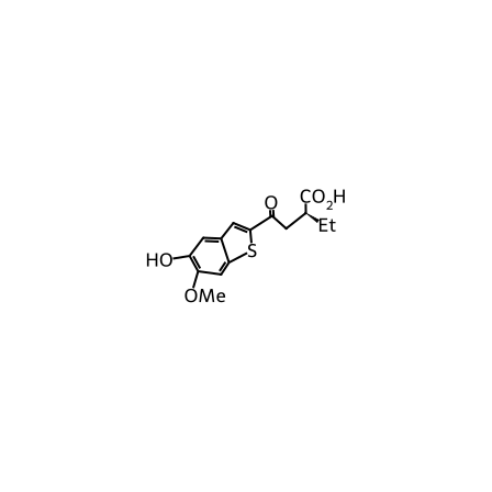 CC[C@@H](CC(=O)c1cc2cc(O)c(OC)cc2s1)C(=O)O